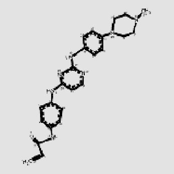 C=CC(=O)Nc1ccc(Nc2ccnc(Nc3ccc(N4CCN(C)CC4)cc3)n2)cc1